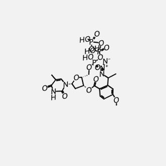 COc1ccc(C(=O)O[C@@H]2C[C@H](n3cc(C)c(=O)[nH]c3=O)O[C@@H]2COP(=O)(O)OP(=O)(O)OP(=O)(O)O)c(C(C)N=[N+]=[N-])c1